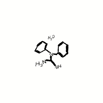 N=C(N)N(c1ccccc1)c1ccccc1.O